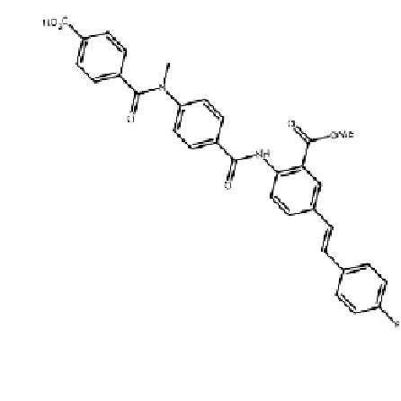 COC(=O)c1cc(C=Cc2ccc(F)cc2)ccc1NC(=O)c1ccc(N(C)C(=O)c2ccc(C(=O)O)cc2)cc1